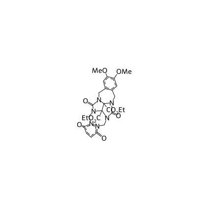 CCOC(=O)C12N3Cc4cc(OC)c(OC)cc4CN1C(=O)N1Cn4c(=O)ccc(=O)n4CN(C3=O)C12C(=O)OCC